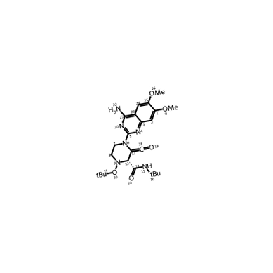 COc1cc2nc(N3CCN(OC(C)(C)C)[C@@H](C(=O)NC(C)(C)C)C3=C=O)nc(N)c2cc1OC